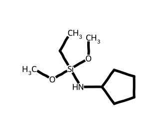 CC[Si](NC1CCCC1)(OC)OC